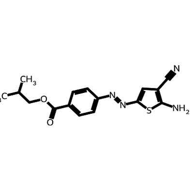 CC(C)COC(=O)c1ccc(N=Nc2cc(C#N)c(N)s2)cc1